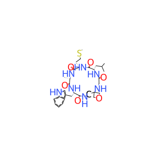 CSCC[C@@H]1NC(=O)[C@H](CC(C)C)NC(=O)CNC2(CNC(=O)[C@H](Cc3c[nH]c4ccccc34)NC(=O)[C@H](C)NC1=O)COC2